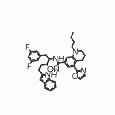 CCCCN1CCCc2c(-c3ncco3)cc(C(=O)NC(Cc3cc(F)cc(F)c3)C(O)CCc3cc4ccccc4[nH]3)cc21